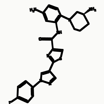 Nc1ccc(N2CCC[C@@H](N)C2)c(NC(=O)c2csc(-c3cnn(-c4ccc(F)cc4)c3)n2)c1